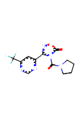 O=C(N1CCCC1)n1c(-c2cc(C(F)(F)F)ncn2)noc1=O